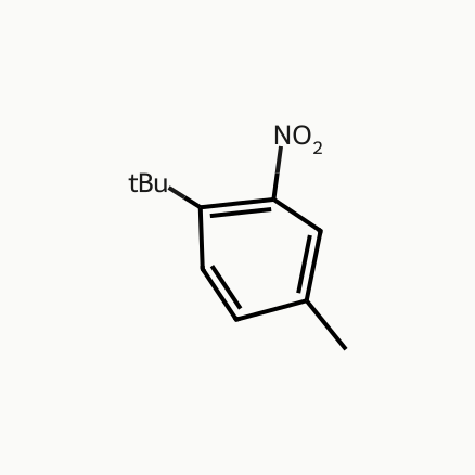 Cc1ccc(C(C)(C)C)c([N+](=O)[O-])c1